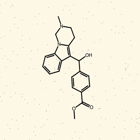 COC(=O)c1ccc(C(O)c2c3n(c4ccccc24)CN(C)CC3)cc1